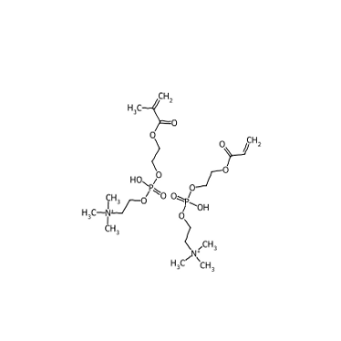 C=C(C)C(=O)OCCOP(=O)(O)OCC[N+](C)(C)C.C=CC(=O)OCCOP(=O)(O)OCC[N+](C)(C)C